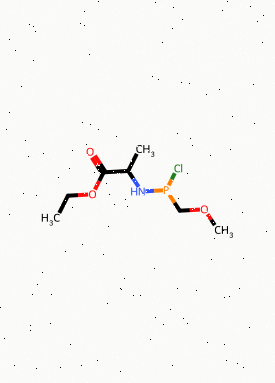 CCOC(=O)C(C)NP(Cl)COC